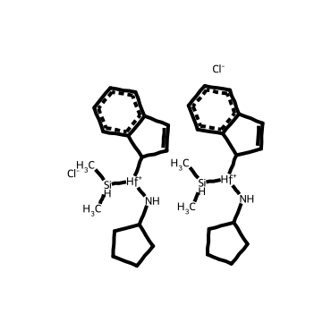 C[SiH](C)[Hf+]([NH]C1CCCC1)[CH]1C=Cc2ccccc21.C[SiH](C)[Hf+]([NH]C1CCCC1)[CH]1C=Cc2ccccc21.[Cl-].[Cl-]